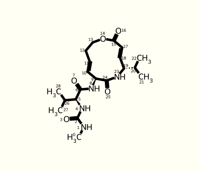 CNC(=O)N[C@H](C(=O)N[C@H]1/C=C/CCOC(=O)/C=C/[C@H](C(C)C)NC1=O)C(C)C